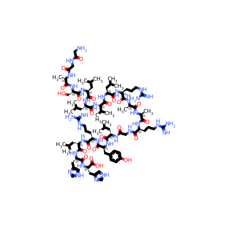 CC(C)C[C@H](NC(=O)CNC(=O)[C@H](CCCNC(=N)N)NC(=O)[C@H](C)NC(=O)[C@H](C)NC(=O)[C@H](CCCNC(=N)N)NC(=O)[C@H](CC(C)C)NC(=O)[C@@H](NC(=O)[C@H](CC(C)C)NC(=O)[C@H](CC(C)C)NC(=O)[C@H](CO)NC(=O)[C@H](C)NC(=O)CNC(=O)CN)C(C)C)C(=O)N[C@@H](Cc1ccc(O)cc1)C(=O)N[C@@H](CCCNC(=N)N)C(=O)N[C@@H](CC(C)C)C(=O)N[C@@H](Cc1c[nH]cn1)C(=O)N[C@@H](Cc1c[nH]cn1)C(=O)O